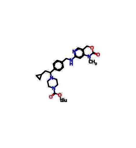 CN1C(=O)OCc2cnc(NCc3ccc(C(CC4CC4)N4CCN(C(=O)OC(C)(C)C)CC4)cc3)cc21